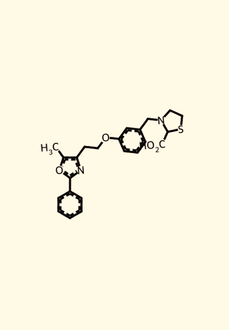 Cc1oc(-c2ccccc2)nc1CCOc1cccc(CN2CCSC2C(=O)O)c1